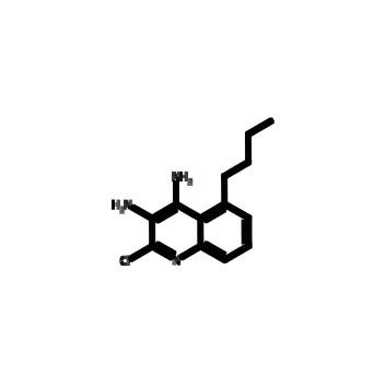 CCCCc1cccc2nc(Cl)c(N)c(N)c12